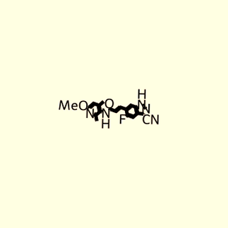 COc1cc(C)c(NC(=O)/C=C/c2cc3[nH]nc(C#N)c3cc2F)c(C)n1